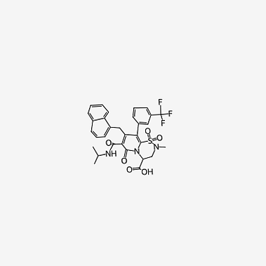 CC(C)NC(=O)c1c(Cc2cccc3ccccc23)c(-c2cccc(C(F)(F)F)c2)c2n(c1=O)C(C(=O)O)CN(C)S2(=O)=O